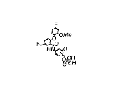 COc1cc(F)ccc1Oc1ccc(CF)cc1C(=O)Nc1ccn(COP(=O)(O)O)c(=O)c1